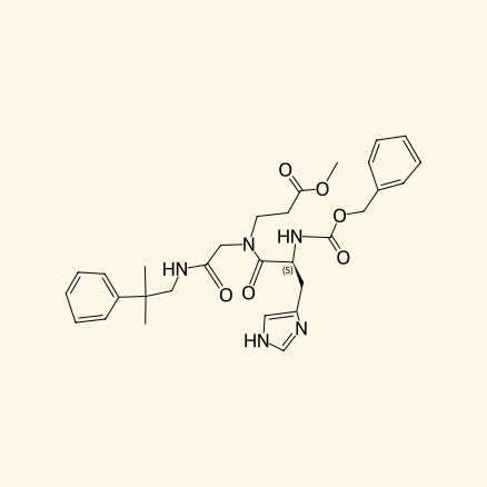 COC(=O)CCN(CC(=O)NCC(C)(C)c1ccccc1)C(=O)[C@H](Cc1c[nH]cn1)NC(=O)OCc1ccccc1